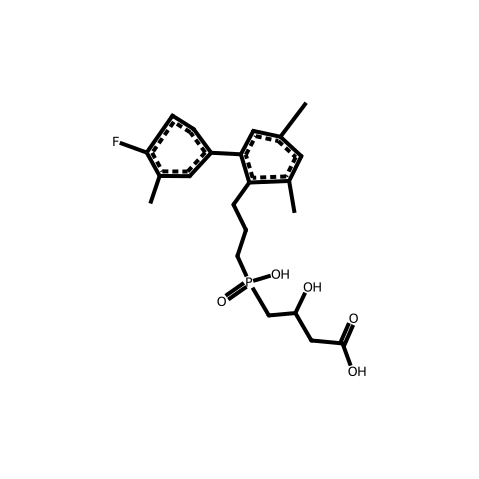 Cc1cc(C)c(CCCP(=O)(O)CC(O)CC(=O)O)c(-c2ccc(F)c(C)c2)c1